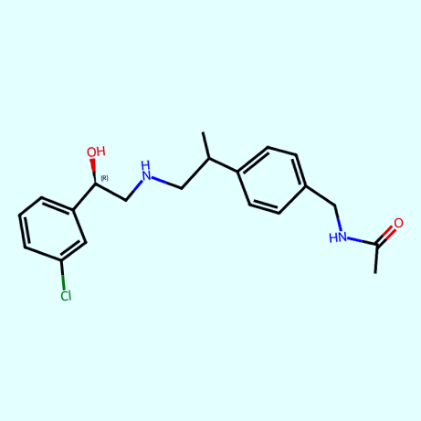 CC(=O)NCc1ccc(C(C)CNC[C@H](O)c2cccc(Cl)c2)cc1